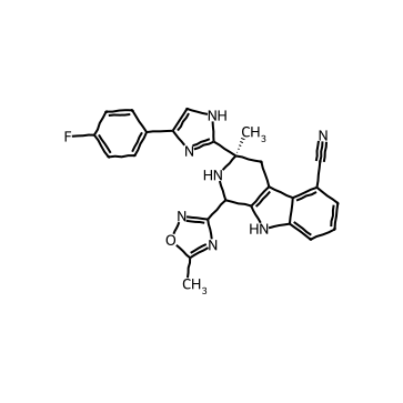 Cc1nc(C2N[C@@](C)(c3nc(-c4ccc(F)cc4)c[nH]3)Cc3c2[nH]c2cccc(C#N)c32)no1